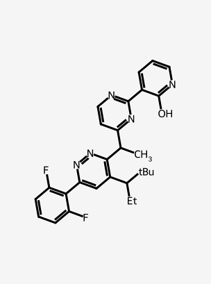 CCC(c1cc(-c2c(F)cccc2F)nnc1C(C)c1ccnc(-c2cccnc2O)n1)C(C)(C)C